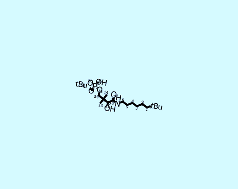 CC(C)(C)CCCCCCNC(=O)C(O)C(C)(C)COP(=O)(O)OC(C)(C)C